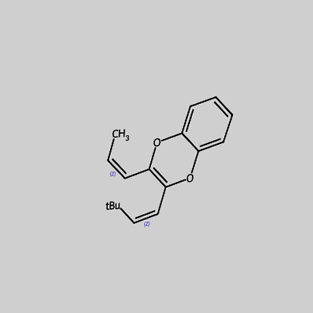 C/C=C\C1=C(/C=C\C(C)(C)C)Oc2ccccc2O1